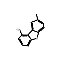 Cc1ccc2oc3cccc(N)c3c2c1